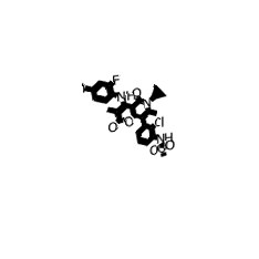 Cc1c(Nc2ccc(I)cc2F)c2c(=O)n(C3CC3)c(C)c(-c3cccc(NS(C)(=O)=O)c3Cl)c2oc1=O